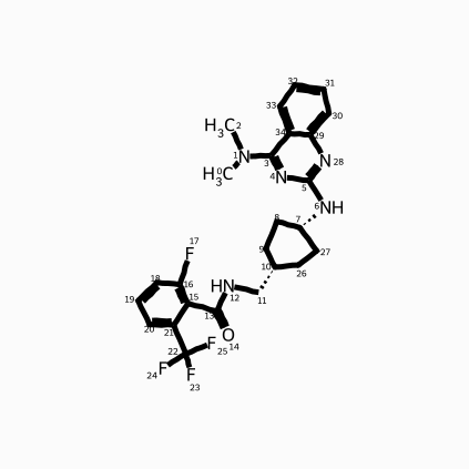 CN(C)c1nc(N[C@H]2CC[C@@H](CNC(=O)c3c(F)cccc3C(F)(F)F)CC2)nc2ccccc12